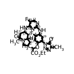 CCOC(=O)C(C)Oc1cc(F)c(Nc2ncc(F)c(N[C@@H]3C[C@@H]4CCCN4C(C)(C)C3)n2)cc1-n1nnn(C)c1=O